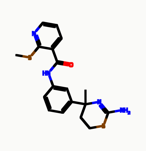 CSc1ncccc1C(=O)Nc1cccc(C2(C)CCSC(N)=N2)c1